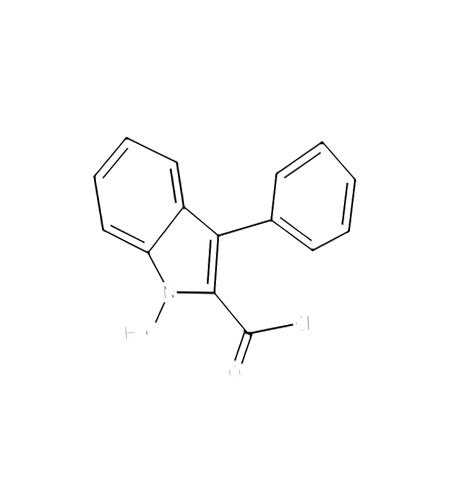 Cn1c(C(=O)Cl)c(-c2ccccc2)c2ccccc21